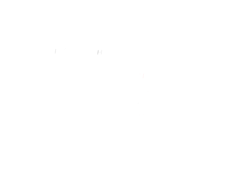 CCCCCCCCCC(=O)O.CCCCO